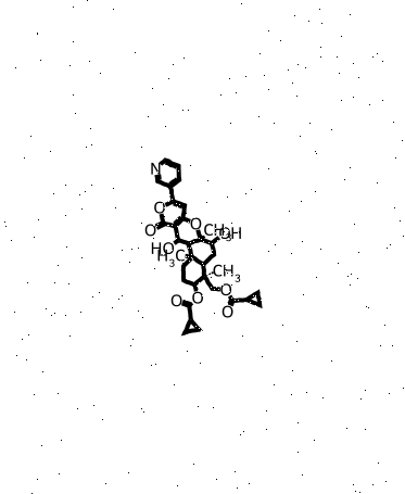 CC12CCC(OC(=O)C3CC3)[C@](C)(COC(=O)C3CC3)C1CC(O)C1(C)Oc3cc(-c4cccnc4)oc(=O)c3C(O)C21